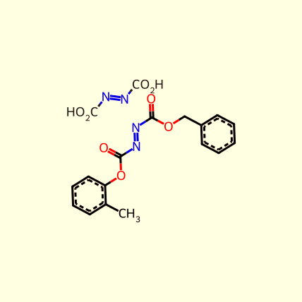 Cc1ccccc1OC(=O)N=NC(=O)OCc1ccccc1.O=C(O)N=NC(=O)O